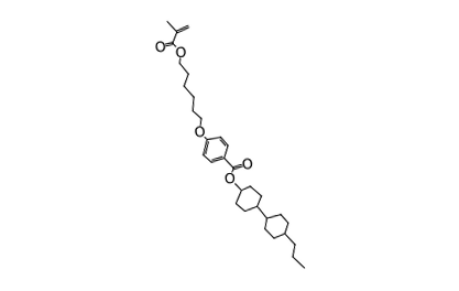 C=C(C)C(=O)OCCCCCCOc1ccc(C(=O)OC2CCC(C3CCC(CCC)CC3)CC2)cc1